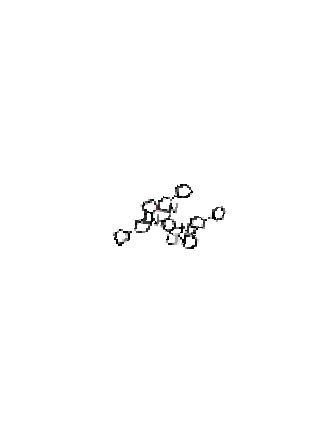 N#Cc1cc(-n2c3ccccc3c3cc(-c4ccccc4)ccc32)c(-c2cccc(-c3ccccc3)n2)cc1-n1c2ccccc2c2cc(-c3ccccc3)ccc21